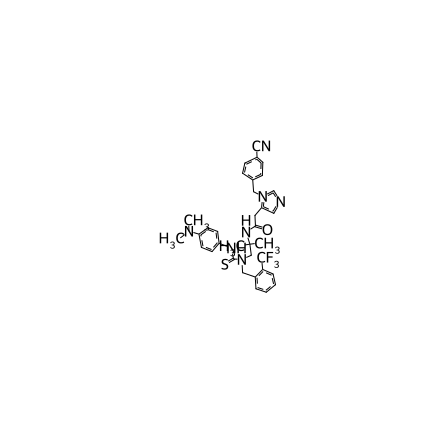 CN(C)c1ccc(NC(=S)N(Cc2ccccc2C(F)(F)F)CC(C)(C)NC(=O)Cc2cncn2Cc2ccc(C#N)cc2)cc1